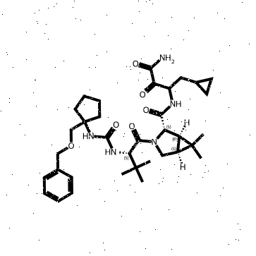 CC(C)(C)[C@H](NC(=O)NC1(COCc2ccccc2)CCCC1)C(=O)N1C[C@H]2[C@@H]([C@H]1C(=O)NC(CC1CC1)C(=O)C(N)=O)C2(C)C